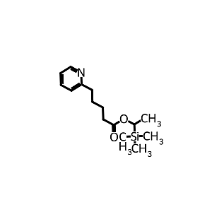 CC(OC(=O)CCCCc1ccccn1)[Si](C)(C)C